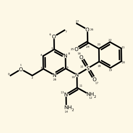 COCc1cc(OC)nc(N(C(N)=NN)S(=O)(=O)c2ccccc2C(=O)OC)n1